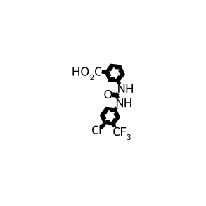 O=C(Nc1cccc(C(=O)O)c1)Nc1ccc(Cl)c(C(F)(F)F)c1